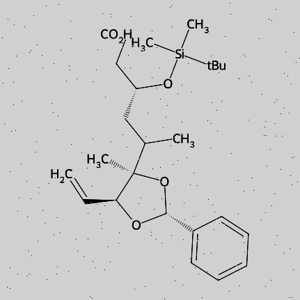 C=C[C@@H]1O[C@@H](c2ccccc2)O[C@]1(C)C(C)C[C@H](CC(=O)O)O[Si](C)(C)C(C)(C)C